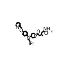 CC(C)CCN(c1ccc(OCc2ccccn2)cc1)C1CCN(C(=O)CC(C)CC(N)=O)CC1